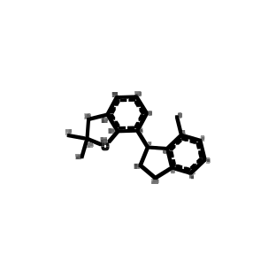 Cc1cc[c]c2c1C(c1cccc3c1OC(C)(C)C3)CC2